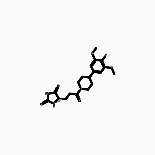 COc1cc(C2CCN(C(=O)CC[C@H]3NC(=O)NC3=O)CC2)cc(OC)c1F